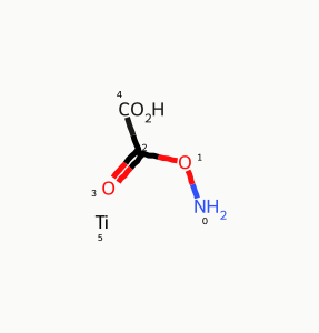 NOC(=O)C(=O)O.[Ti]